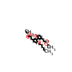 CCCCCCOc1ccc(CCC(=O)OCC)cc1-c1cc(CCC(=O)OCC)ccc1O